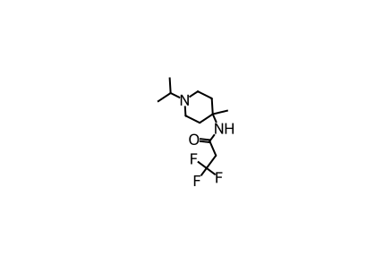 CC(C)N1CCC(C)(NC(=O)CC(F)(F)F)CC1